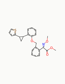 CON=C(C(=O)OC)c1ccccc1COc1ccccc1C1CC1c1cccs1